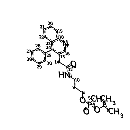 CC(C)OP(C)(=O)OCCCNC(=O)Cc1cnc2ccccc2c1-c1ccccc1